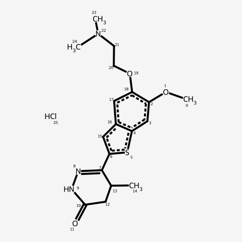 COc1cc2sc(C3=NNC(=O)CC3C)cc2cc1OCCN(C)C.Cl